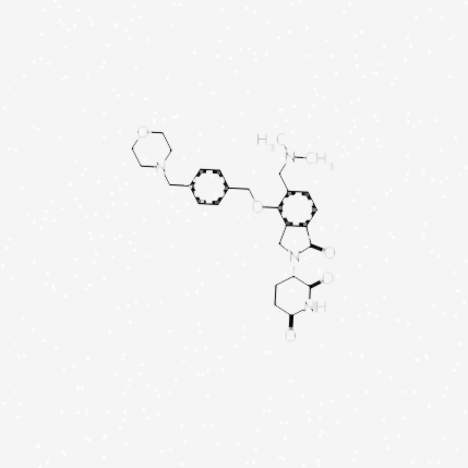 CN(C)Cc1ccc2c(c1OCc1ccc(CN3CCOCC3)cc1)CN([C@H]1CCC(=O)NC1=O)C2=O